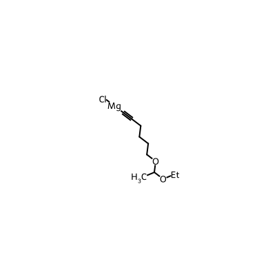 CCOC(C)OCCCCC#[C][Mg][Cl]